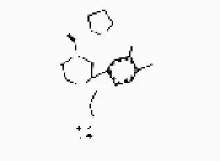 CS(=O)(=O)OCC[C@@]1(c2ccc(Cl)c(Cl)c2)CN(C(=O)[C@@H]2CCCN2)CCO1